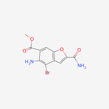 COC(=O)c1cc2oc(C(N)=O)cc2c(Br)c1N